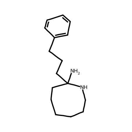 NC1(CCCc2ccccc2)CCCCCCN1